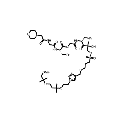 COCC(C)(C)OCCC(C)(C)OCCn1cc(COCCCS(=O)(=O)OCC(C)(O)C(=O)[C@H](CC(C)C)NC(=O)CNC(=O)[C@H](CC(C)C)NC(=O)CNC(=O)CN2CCOCC2)nn1